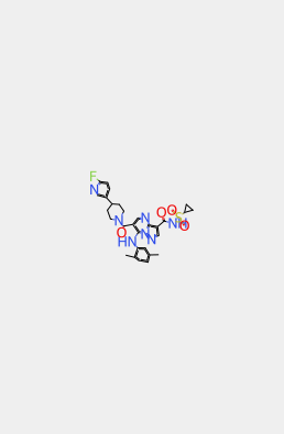 Cc1ccc(C)c(Nc2c(C(=O)N3CCC(c4ccc(F)nc4)CC3)cnc3c(C(=O)NS(=O)(=O)C4CC4)cnn23)c1